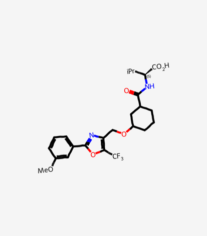 COc1cccc(-c2nc(COC3CCCC(C(=O)N[C@H](C(=O)O)C(C)C)C3)c(C(F)(F)F)o2)c1